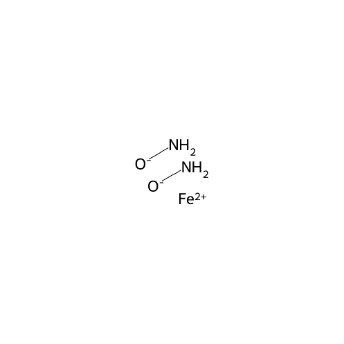 N[O-].N[O-].[Fe+2]